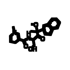 COC(C)(C(=O)C(CO)NC(=O)C1=CN(C)C=CC1)c1ccc2ccccc2c1